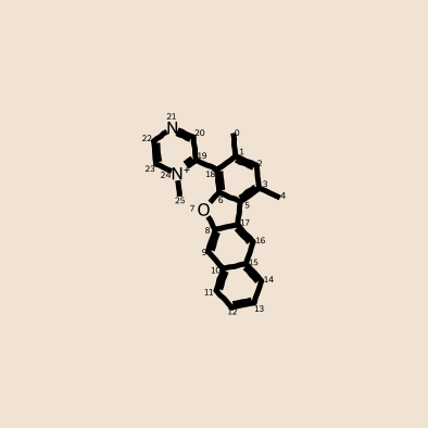 Cc1cc(C)c2c(oc3cc4ccccc4cc32)c1-c1cncc[n+]1C